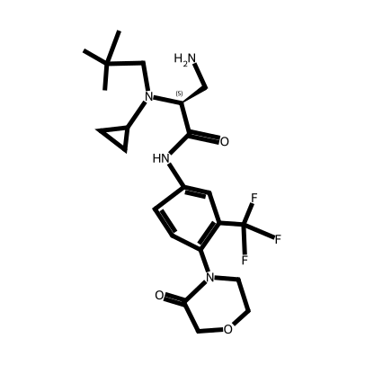 CC(C)(C)CN(C1CC1)[C@@H](CN)C(=O)Nc1ccc(N2CCOCC2=O)c(C(F)(F)F)c1